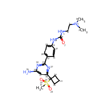 CN(C)CCNC(=O)Nc1ccc(-c2nc(N)cc(C3(S(C)(=O)=O)CCC3)n2)cc1